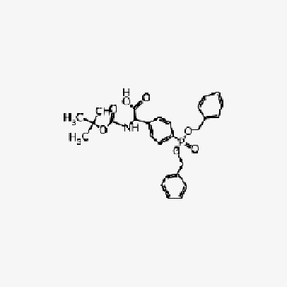 CC(C)(C)OC(=O)NC(C(=O)O)c1ccc(P(=O)(OCc2ccccc2)OCc2ccccc2)cc1